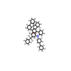 Cc1ccc(N(c2ccc(-c3ccccc3)cc2)c2ccccc2-c2cccc3c2-c2ccccc2C32c3ccccc3-c3ccccc32)cc1C(C)(C)c1ccccc1